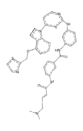 CN(C)CC=CC(=O)Nc1cccc(C(=O)Nc2cccc(Nc3nccc(-n4ccc5c(OCc6nccs6)cccc54)n3)c2)c1